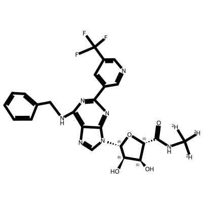 [2H]C([2H])([2H])NC(=O)[C@H]1O[C@@H](n2cnc3c(NCc4ccccc4)nc(-c4cncc(C(F)(F)F)c4)nc32)[C@H](O)[C@@H]1O